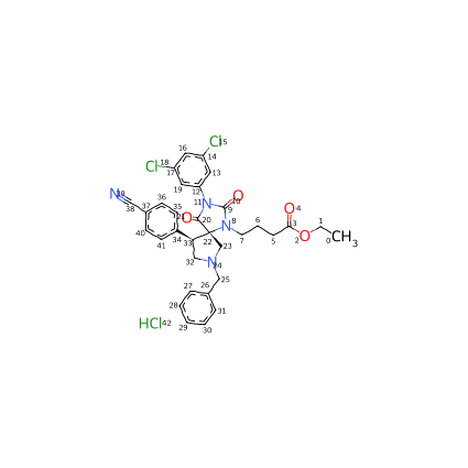 CCOC(=O)CCCN1C(=O)N(c2cc(Cl)cc(Cl)c2)C(=O)[C@]12CN(Cc1ccccc1)C[C@H]2c1ccc(C#N)cc1.Cl